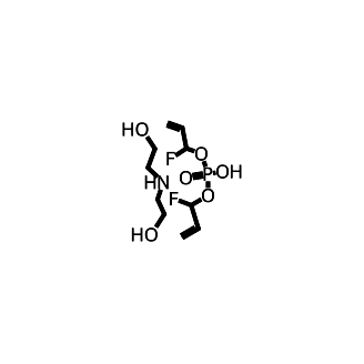 C=CC(F)OP(=O)(O)OC(F)C=C.OCCNCCO